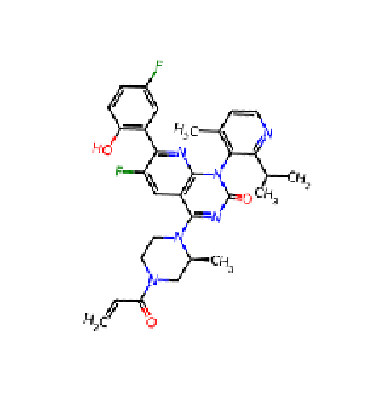 C=CC(=O)N1CCN(c2nc(=O)n(-c3c(C)ccnc3C(C)C)c3nc(-c4cc(F)ccc4O)c(F)cc23)[C@@H](C)C1